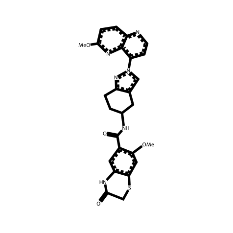 COc1ccc2nccc(-n3cc4c(n3)CCC(NC(=O)c3cc5c(cc3OC)SCC(=O)N5)C4)c2n1